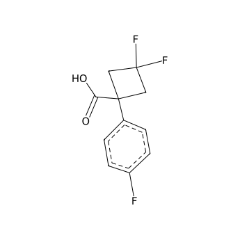 O=C(O)C1(c2ccc(F)cc2)CC(F)(F)C1